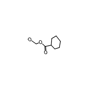 [O]COC(=O)C1CCCCC1